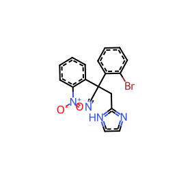 N#CC(Cc1ncc[nH]1)(c1ccccc1Br)c1ccccc1[N+](=O)[O-]